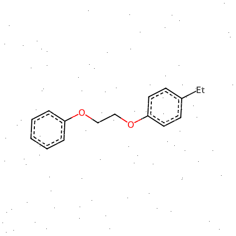 CCc1ccc(OCCOc2ccccc2)cc1